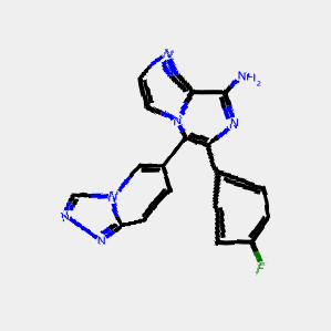 Nc1nc(-c2ccc(F)cc2)c(-c2ccc3nncn3c2)n2ccnc12